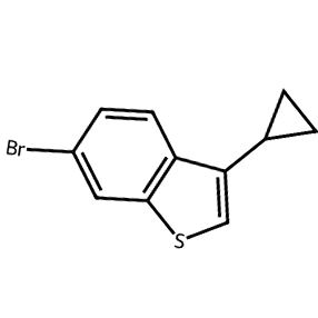 Brc1ccc2c(C3CC3)csc2c1